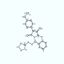 O=C1CN(Cc2ccncc2OCCN2CCCC2)C(=O)N1c1ccc(OC(F)(F)F)cc1